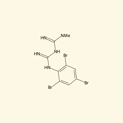 CNC(=N)NC(=N)Nc1c(Br)cc(Br)cc1Br